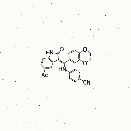 CC(=O)c1ccc2c(c1)C(=C(Nc1ccc(C#N)cc1)c1ccc3c(c1)OCCO3)C(=O)N2